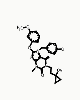 C=C1c2c(nc(Oc3cccc(OC(F)(F)F)c3)n2Cc2ccc(Cl)cc2)N(C)C(=O)N1CCC1(O)CC1